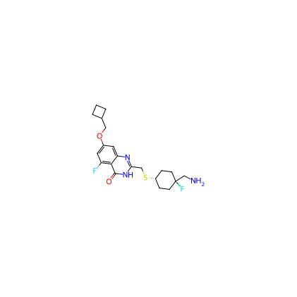 NC[C@]1(F)CC[C@H](SCc2nc3cc(OCC4CCC4)cc(F)c3c(=O)[nH]2)CC1